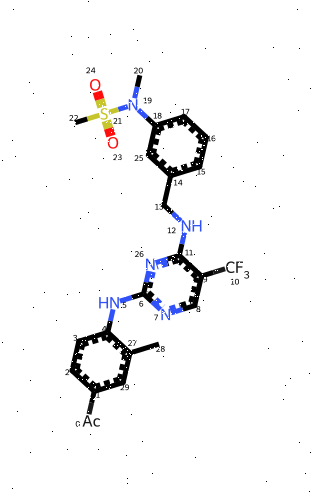 CC(=O)c1ccc(Nc2ncc(C(F)(F)F)c(NCc3cccc(N(C)S(C)(=O)=O)c3)n2)c(C)c1